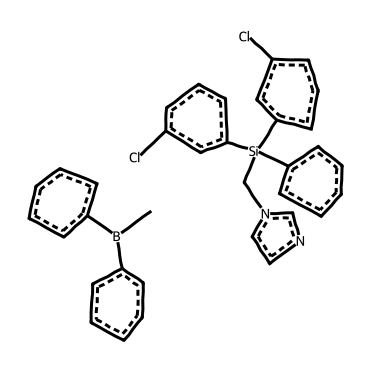 CB(c1ccccc1)c1ccccc1.Clc1cccc([Si](Cn2ccnc2)(c2ccccc2)c2cccc(Cl)c2)c1